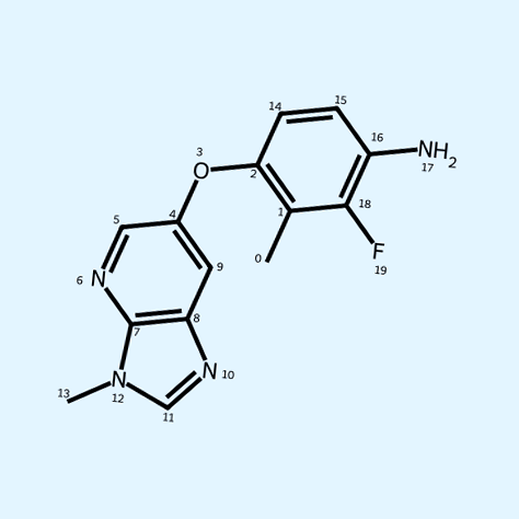 Cc1c(Oc2cnc3c(c2)ncn3C)ccc(N)c1F